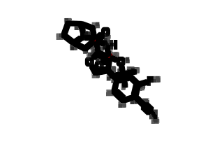 CC(C)(C)OC(=O)NC1CC2CCC(C1)N2C(=O)c1cc(-c2ccc(C#N)c(F)c2)co1